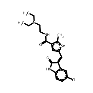 CCN(CC)CCNC(=O)c1cc(C=C2C(=O)Nc3ccc(Cl)cc32)[se]c1C